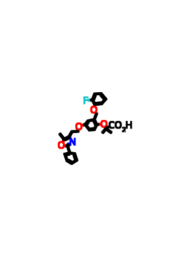 Cc1oc(-c2ccccc2)nc1CCOc1ccc(OC(C)(C)C(=O)O)c(COc2ccccc2F)c1